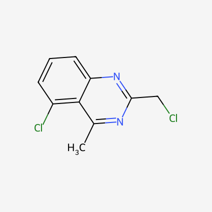 Cc1nc(CCl)nc2cccc(Cl)c12